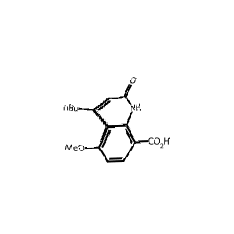 CCCCc1cc(=O)[nH]c2c(C(=O)O)ccc(OC)c12